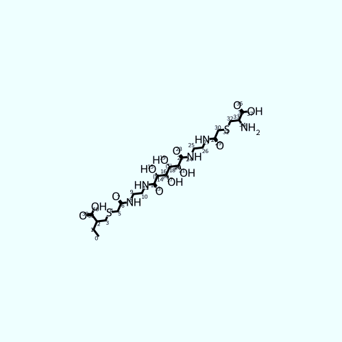 CCC(CSCC(=O)NCCNC(=O)[C@@H](O)[C@H](O)[C@H](O)[C@@H](O)C(=O)NCCNC(=O)CSCC(N)C(=O)O)C(=O)O